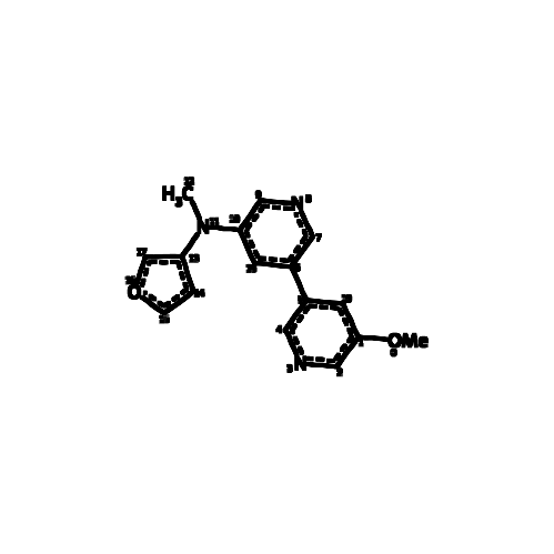 COc1cncc(-c2cncc(N(C)c3ccoc3)c2)c1